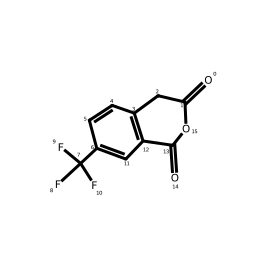 O=C1Cc2ccc(C(F)(F)F)cc2C(=O)O1